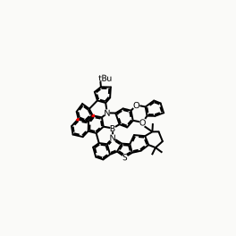 CC(C)(C)c1ccc(N2c3cc4c(cc3B3c5c2cc2ccccc2c5-c2cccc5c6sc7cc8c(cc7c6n3c25)C(C)(C)CCC8(C)C)Oc2ccccc2O4)c(-c2ccccc2)c1